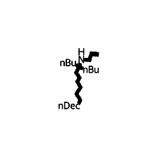 C=CCNC(CCCC)(CCCC)CCCCCCCCCCCCCCCC